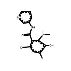 CNc1c(O)c(I)cc(Cl)c1C(=O)Nc1cccnc1